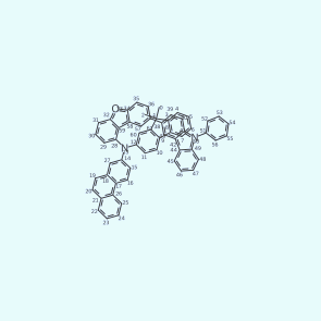 CC1(C)c2ccccc2-c2ccc(N(c3ccc4c(ccc5ccccc54)c3)c3cccc4oc5ccc(-c6ccc7c(c6)c6ccccc6n7-c6ccccc6)cc5c34)cc21